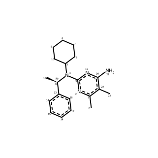 Cc1nc(N(C2CCCCC2)[C@H](C)c2ccccc2)nc(N)c1C